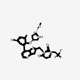 COC[C@H]1C[C@H](Oc2c(C)cc(Cl)cc2-c2ccnc3cc(Cn4c(=O)ccn(CC(F)(F)F)c4=O)sc23)CN1